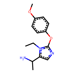 CCn1c(C(C)N)cnc1Oc1ccc(OC)cc1